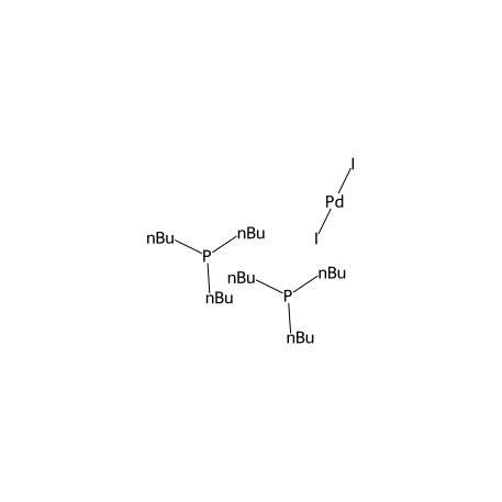 CCCCP(CCCC)CCCC.CCCCP(CCCC)CCCC.[I][Pd][I]